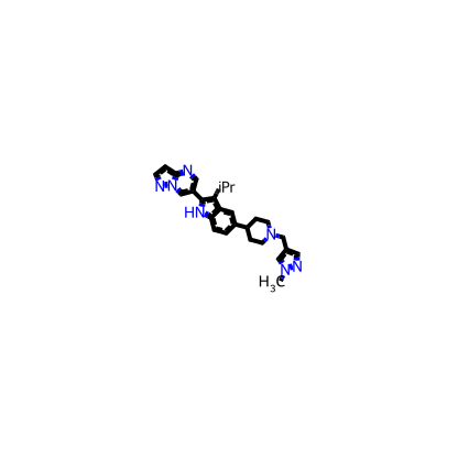 CC(C)c1c(-c2cnc3ccnn3c2)[nH]c2ccc(C3CCN(Cc4cnn(C)c4)CC3)cc12